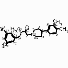 Cc1ccc(C2CCN(CC(=O)N(C)Cc3cc(Br)cc(Br)c3)CC2)cc1C